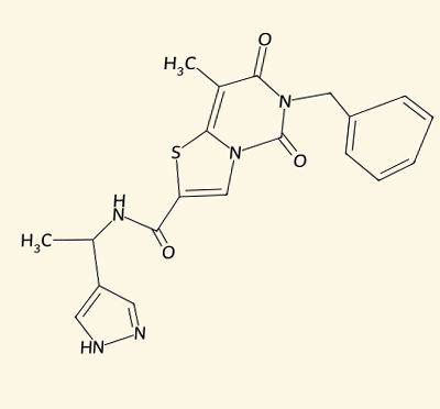 Cc1c(=O)n(Cc2ccccc2)c(=O)n2cc(C(=O)NC(C)c3cn[nH]c3)sc12